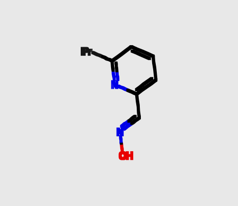 CC(C)c1cccc(C=NO)n1